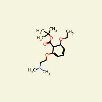 CCOC1C=CC=C(OCCN(C)C)C1C(=O)OC(C)(C)C